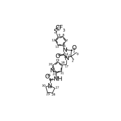 CC1(C)C(=O)N(c2ccc(SC(F)(F)F)cc2)C(=O)N1Cc1ccnc(NC(=O)N2CCCC2)c1